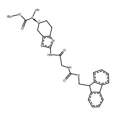 CCCN(C(=O)OC(C)(C)C)[C@H]1CCc2nc(NC(=O)CNC(=O)OCC3c4ccccc4-c4ccccc43)sc2C1